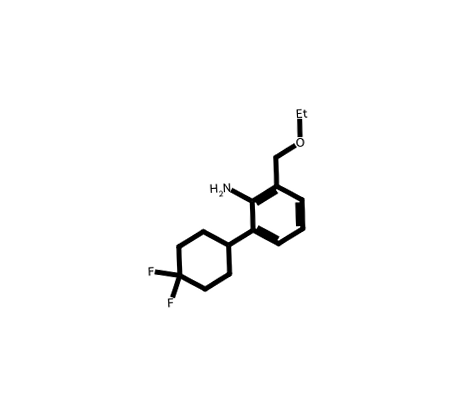 CCOCc1cccc(C2CCC(F)(F)CC2)c1N